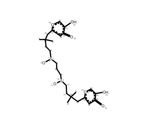 CC(C)(CC[S+]([O-])CCC[S+]([O-])CCC(C)(C)Cc1cc(=O)c(O)co1)Cc1cc(=O)c(O)co1